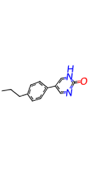 CCCc1ccc(-c2cnc(=O)[nH]c2)cc1